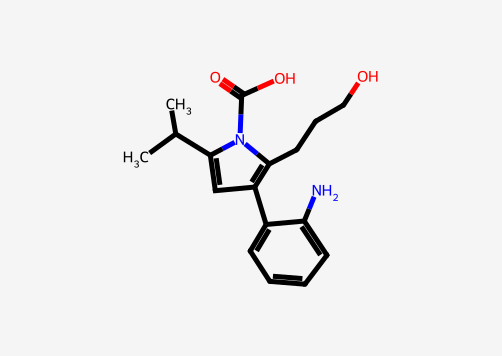 CC(C)c1cc(-c2ccccc2N)c(CCCO)n1C(=O)O